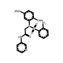 COc1ccc(OC)c(N(CC(=O)Nc2cccnc2)S(=O)(=O)c2ccccc2C(F)(F)F)c1